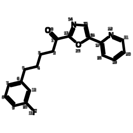 O=C(CCCCc1cccc(F)c1)c1ncc(-c2ccccn2)o1